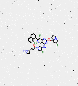 CN(c1nc(OC[C@@]23CCCN2C[C@H](F)C3)nc2c(F)c(-c3cccc4cccc(Cl)c34)ncc12)[C@@H]1CN(C(=O)/C=C/[C@@H]2CCN2)C[C@H]1F